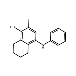 Cc1cc(Nc2ccccc2)c2c(c1O)CCCC2